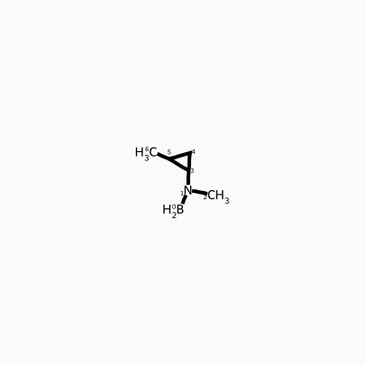 BN(C)C1CC1C